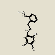 O=C(O)Nc1ccccc1CCOc1nc(F)c(Cl)cc1Cl